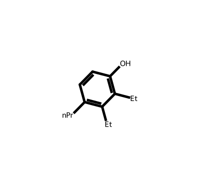 CCCc1ccc(O)c(CC)c1CC